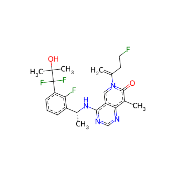 C=C(CCF)n1cc2c(N[C@H](C)c3cccc(C(F)(F)C(C)(C)O)c3F)ncnc2c(C)c1=O